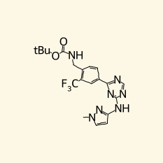 Cn1ccc(Nc2ncnc(-c3ccc(CNC(=O)OC(C)(C)C)c(C(F)(F)F)c3)n2)n1